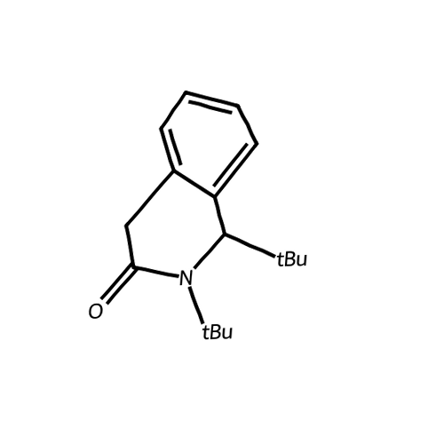 CC(C)(C)C1c2ccccc2CC(=O)N1C(C)(C)C